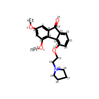 CCCOc1cc(OCC)cc2c1-c1c(OCCN3CCCC3)cccc1C2=O